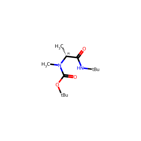 C[C@H](C(=O)NC(C)(C)C)N(C)C(=O)OC(C)(C)C